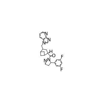 O=C([C@H]1CC(Cn2cnc3ncccc32)C2CC1C2)N1N=CCC1c1cc(F)cc(F)c1